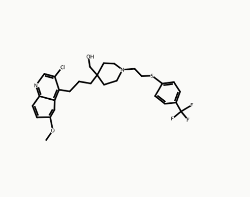 COc1ccc2ncc(Cl)c(CCCC3(CO)CCN(CCSc4ccc(C(F)(F)F)cc4)CC3)c2c1